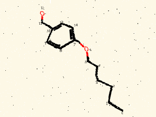 CCCCCCOc1ccc(C[O])cc1